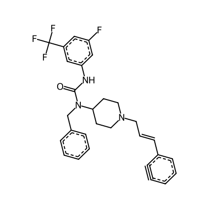 O=C(Nc1cc(F)cc(C(F)(F)F)c1)N(Cc1ccccc1)C1CCN(C/C=C/c2c#cccc2)CC1